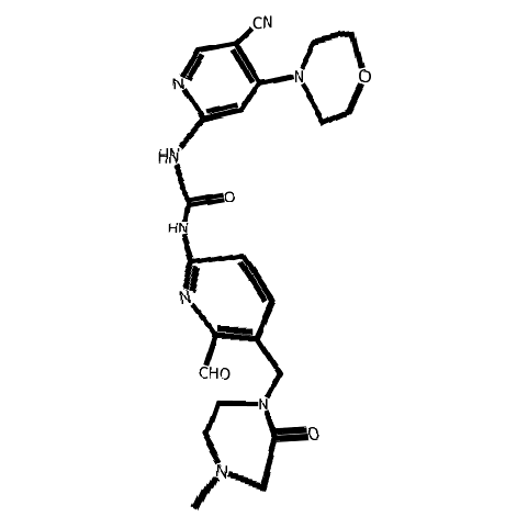 CN1CCN(Cc2ccc(NC(=O)Nc3cc(N4CCOCC4)c(C#N)cn3)nc2C=O)C(=O)C1